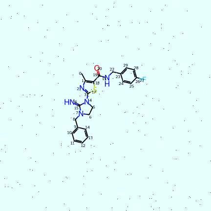 Cc1nc(N2CCN(Cc3ccccc3)C2=N)sc1C(=O)NCc1ccc(F)cc1